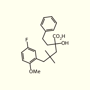 COc1ccc(F)cc1CC(C)(C)CC(O)(CCc1ccccc1)C(=O)O